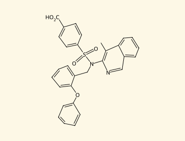 Cc1c(N(Cc2ccccc2Oc2ccccc2)S(=O)(=O)c2ccc(C(=O)O)cc2)ncc2ccccc12